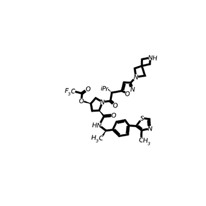 Cc1ncsc1-c1ccc([C@@H](C)NC(=O)[C@H]2C[C@@H](OC(=O)C(F)(F)F)CN2C(=O)[C@@H](c2cc(N3CC4(CNC4)C3)no2)C(C)C)cc1